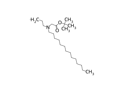 [CH2]CCN(CCCCCCCCCCCCCC)CC(=O)OC(C)(C)C